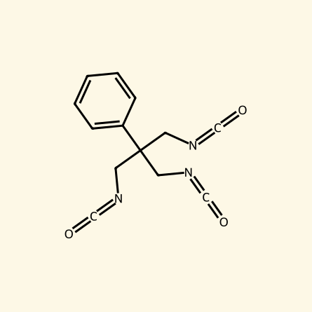 O=C=NCC(CN=C=O)(CN=C=O)c1ccccc1